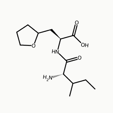 CCC(C)[C@H](N)C(=O)N[C@@H](CC1CCCO1)C(=O)O